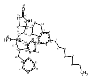 CCCCCCCCc1ccc2c(c1)CCC(C1(COP(=O)(O)OC(Cc3ccccc3)c3ccccc3)COC(=O)N1)C2